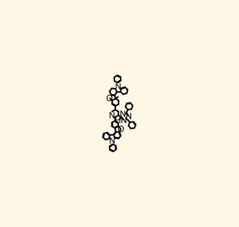 CC1(C2CC(C3=CC4OC5=C(C6C7CCCC=C7N(C7=CC=CCC7)C6CC5)C4(C)CC3)C=NC2c2ccc3c(c2)oc2ccc4c(c23)C2=CC=CCC2N4c2ccccc2)N=C(C2CC=CCC2)N=C(C2C=CCCC2)N1